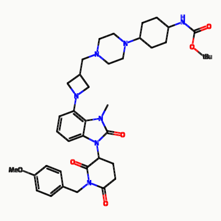 COc1ccc(CN2C(=O)CCC(n3c(=O)n(C)c4c(N5CC(CN6CCN(C7CCC(NC(=O)OC(C)(C)C)CC7)CC6)C5)cccc43)C2=O)cc1